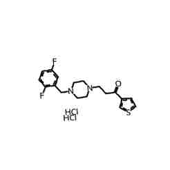 Cl.Cl.O=C(CCN1CCN(Cc2cc(F)ccc2F)CC1)c1ccsc1